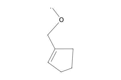 [CH2]OCC1=CCCC1